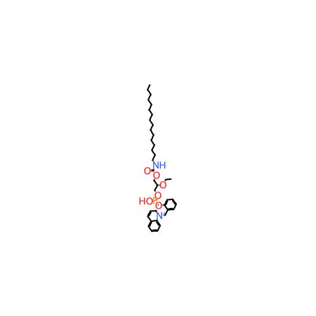 CCCCCCCCCCCCCCCCNC(=O)OCC(COP(O)Oc1ccccc1C[n+]1cccc2ccccc21)OCC